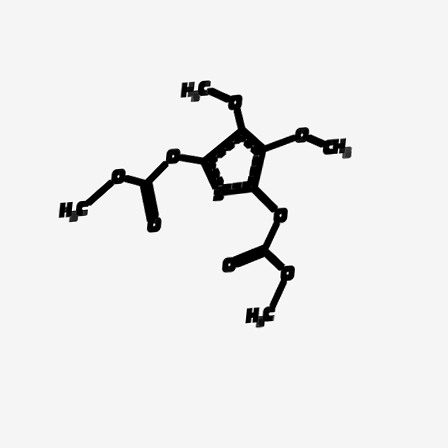 COC(=O)Oc1sc(OC(=O)OC)c(OC)c1OC